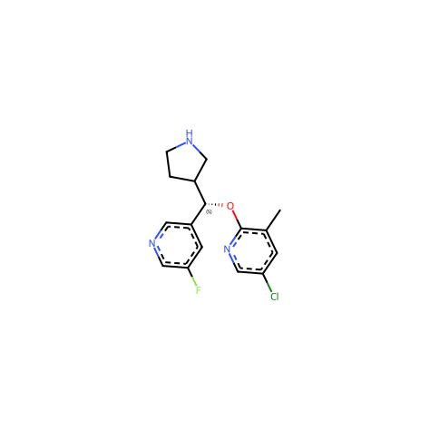 Cc1cc(Cl)cnc1O[C@H](c1cncc(F)c1)C1CCNC1